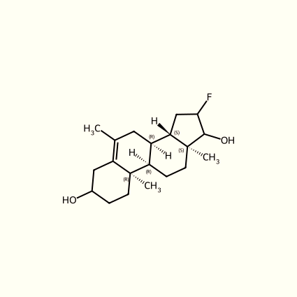 CC1=C2CC(O)CC[C@]2(C)[C@@H]2CC[C@]3(C)C(O)C(F)C[C@H]3[C@@H]2C1